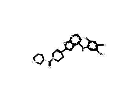 COc1cc(Nc2ccnc3[nH]c(C4=CCN(C(=O)[C@H]5CCCNC5)CC4)cc23)c(O)cc1Cl